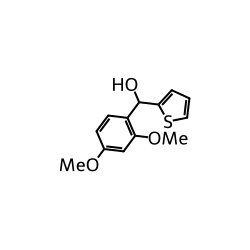 COc1ccc(C(O)c2cccs2)c(OC)c1